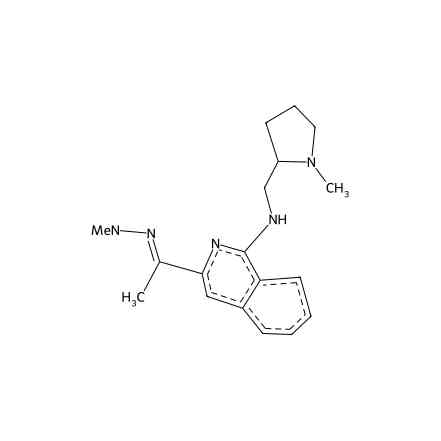 CN/N=C(\C)c1cc2ccccc2c(NCC2CCCN2C)n1